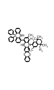 Cc1cc(-c2cccc3c2Nc2ccccc2S3(c2ccccc2)c2ccccc2)c2c(c1)N(c1cc3c(cc1C)C(C)(C)CCC3(C)C)c1cc3c(cc1B2)Sc1ccccc1S3